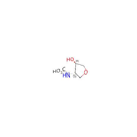 O=C(O)N[C@H]1COC[C@@H]1O